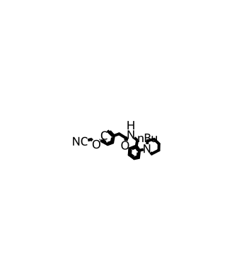 CCCCC(NC(=O)Cc1ccc(OCC#N)cc1)c1ccccc1N1CCCCC1